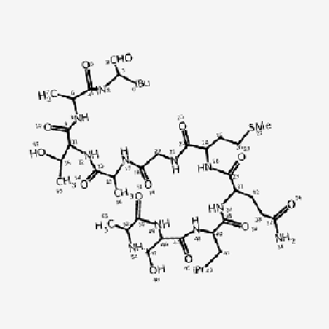 CCC(C)C(C=O)NC(=O)C(C)NC(=O)C(NC(=O)C(C)NC(=O)CNC(=O)C(CCSC)NC(=O)C(CCC(N)=O)NC(=O)C(CC(C)C)NC(=O)C(CO)NC(=O)C(C)N)C(C)O